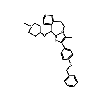 Cc1c(-c2ccc(SCc3ccccc3)cc2)nc2n1CCc1ccccc1C2OC1CCN(C)CC1